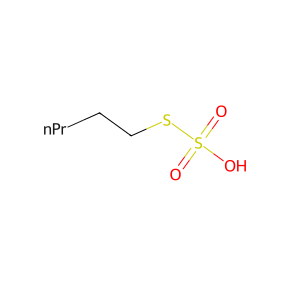 CCCCCSS(=O)(=O)O